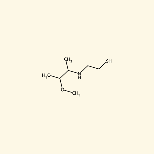 COC(C)C(C)NCCS